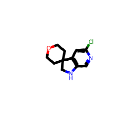 Clc1cc2c(cn1)NCC21CCOCC1